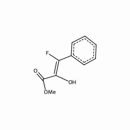 COC(=O)/C(O)=C(\F)c1ccccc1